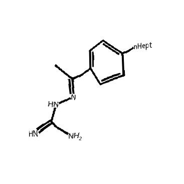 CCCCCCCc1ccc(C(C)=NNC(=N)N)cc1